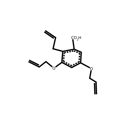 C=CCOc1cc(OCC=C)c(CC=C)c(C(=O)O)c1